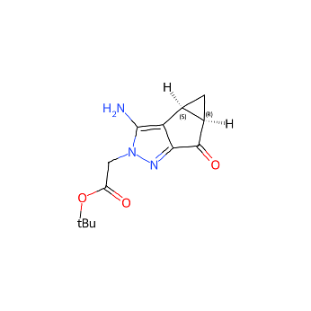 CC(C)(C)OC(=O)Cn1nc2c(c1N)[C@H]1C[C@H]1C2=O